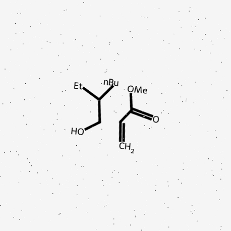 C=CC(=O)OC.CCCCC(CC)CO